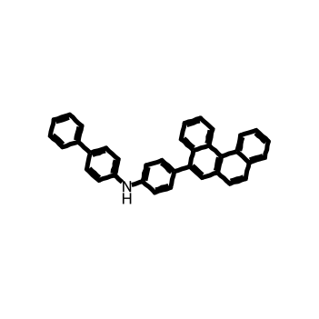 c1ccc(-c2ccc(Nc3ccc(-c4cc5ccc6ccccc6c5c5ccccc45)cc3)cc2)cc1